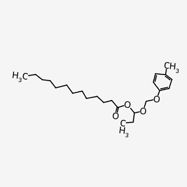 CCCCCCCCCCCCC(=O)OC(CC)OCOc1ccc(C)cc1